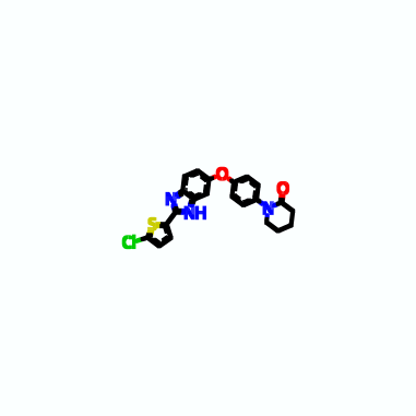 O=C1CCCCN1c1ccc(Oc2ccc3nc(-c4ccc(Cl)s4)[nH]c3c2)cc1